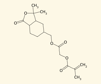 C=C(C)C(=O)OCC(=O)OCC1CCC2C(=O)OC(C)(C)C2C1